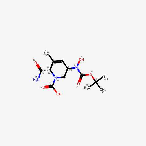 CC1=C[C@@H](N(O)C(=O)OC(C)(C)C)CN(C(=O)O)[C@@H]1C(N)=O